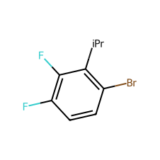 CC(C)c1c(Br)ccc(F)c1F